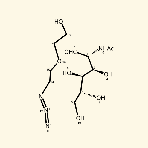 CC(=O)N[C@@H](C=O)[C@@H](O)[C@H](O)[C@H](O)CO.[N-]=[N+]=NCCOCCO